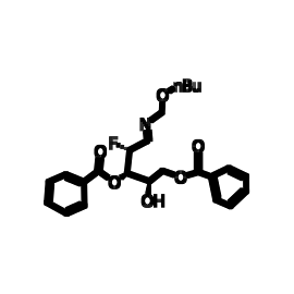 CCCCOCN=C[C@@H](F)[C@H](OC(=O)c1ccccc1)[C@H](O)COC(=O)c1ccccc1